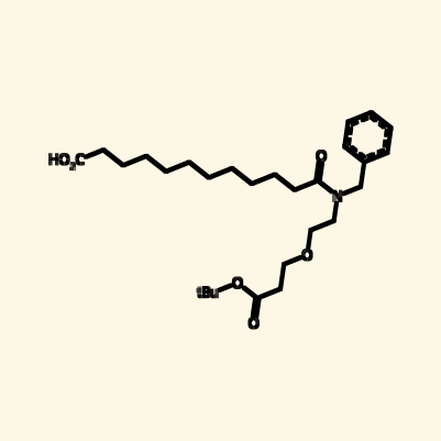 CC(C)(C)OC(=O)CCOCCN(Cc1ccccc1)C(=O)CCCCCCCCCCC(=O)O